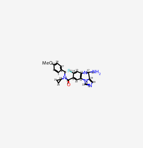 COc1ccc(CN(C(=O)c2cc3c(cc2F)nc(N)c2cncn23)C2CC2)cc1